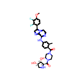 COc1ccc(-c2cnc3c(Nc4ccc(C(=O)N5CCN(C(=O)[C@H]6NC[C@H](O)[C@@H]6O)CC5)c(C)c4)nccn23)c(F)c1F